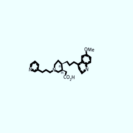 COc1ccc2nccc(CCC[C@@H]3CCN(CCCc4cccnc4)C[C@@H]3CC(=O)O)c2c1